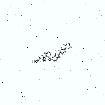 CC(C)(O)C(C)(C)OBc1cccc2c1oc1ccc3nc(-c4ccc(-c5ccccc5)cc4)oc3c12